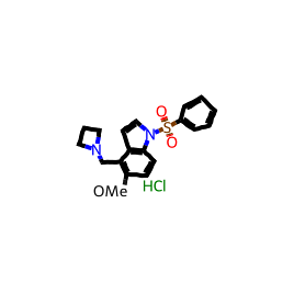 COc1ccc2c(ccn2S(=O)(=O)c2ccccc2)c1CN1CCC1.Cl